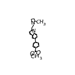 COC(=O)c1ccc(-c2ccc3nc(CCN4CCC[C@H]4C)ccc3c2)cc1